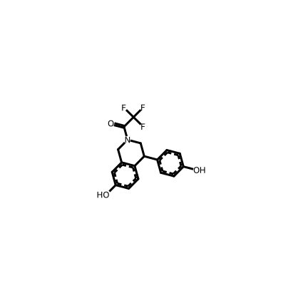 O=C(N1Cc2cc(O)ccc2C(c2ccc(O)cc2)C1)C(F)(F)F